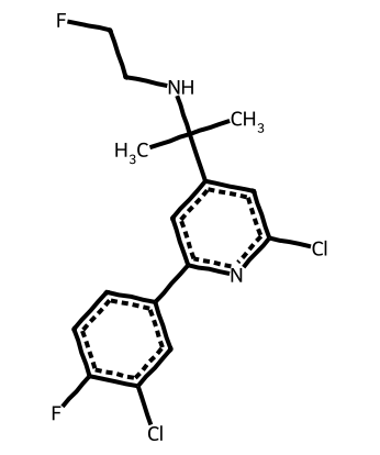 CC(C)(NCCF)c1cc(Cl)nc(-c2ccc(F)c(Cl)c2)c1